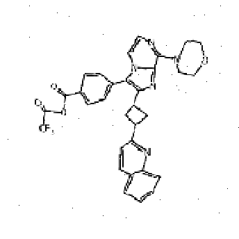 O=C(OC(=O)C(F)(F)F)c1ccc(-c2c(C3CC(c4ccc5ccccc5n4)C3)nc3c(N4CCOCC4)nccn23)cc1